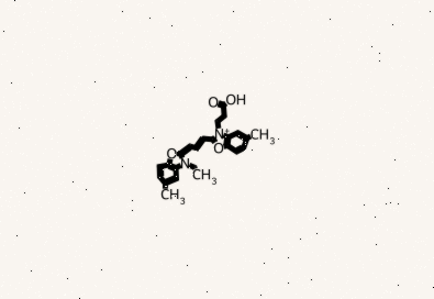 CCN1C(=CC=Cc2oc3ccc(C)cc3[n+]2CCC(=O)O)Oc2ccc(C)cc21